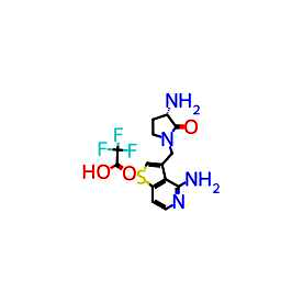 Nc1nccc2scc(CN3CC[C@H](N)C3=O)c12.O=C(O)C(F)(F)F